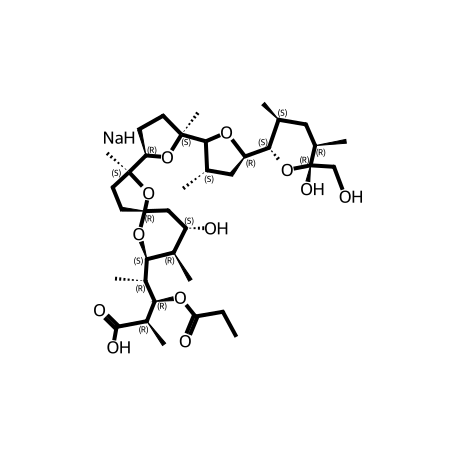 CCC(=O)O[C@H]([C@H](C)[C@H]1O[C@@]2(CC[C@@](C)([C@H]3CC[C@@](C)(C4O[C@@H]([C@H]5O[C@@](O)(CO)[C@H](C)C[C@@H]5C)C[C@@H]4C)O3)O2)C[C@H](O)[C@H]1C)[C@@H](C)C(=O)O.[NaH]